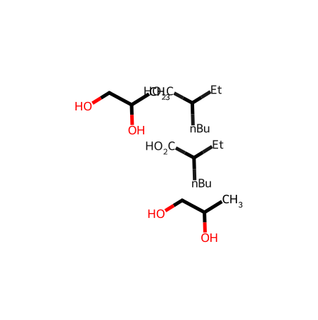 CC(O)CO.CC(O)CO.CCCCC(CC)C(=O)O.CCCCC(CC)C(=O)O